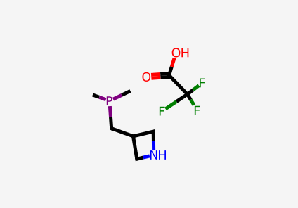 CP(C)CC1CNC1.O=C(O)C(F)(F)F